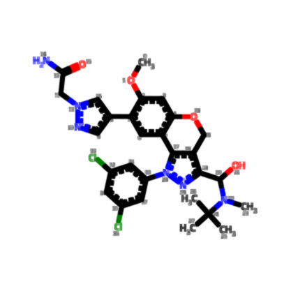 COc1cc2c(cc1-c1cnn(CC(N)=O)c1)-c1c(c(C(O)N(C)C(C)(C)C)nn1-c1cc(Cl)cc(Cl)c1)CO2